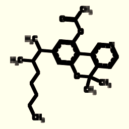 CCCCCC(C)C(C)c1cc(OC(C)=O)c2c(c1)OC(C)(C)c1ccncc1-2